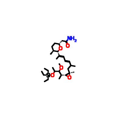 CC[Si](CC)(CC)OC(C)C(OC)C(C)[C@H]1O[C@]1(C)CC(C)/C=C/C=C(\C)[C@H]1O[C@@H](CC(N)=O)CC[C@@H]1C